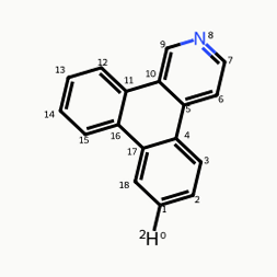 [2H]c1ccc2c3ccncc3c3ccccc3c2c1